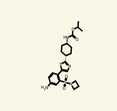 CC(C)OC(=O)N[C@H]1CC[C@H](c2ncc(-c3ccc(N)cc3S(=O)(=O)N3CCC3)s2)CC1